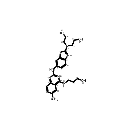 Cc1ccc2nc(Nc3ccc4nc(N(CCO)CCO)sc4c3)nc(NCCCO)c2c1